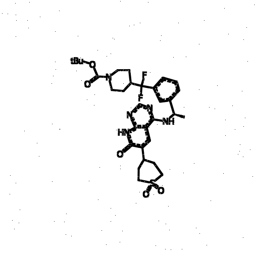 C[C@@H](Nc1ncnc2[nH]c(=O)c(C3CCS(=O)(=O)CC3)cc12)c1cccc(C(F)(F)C2CCN(C(=O)OC(C)(C)C)CC2)c1